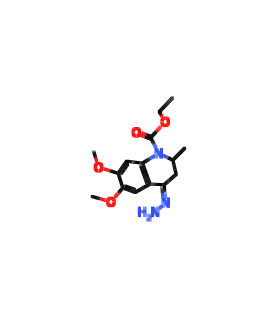 CCOC(=O)N1c2cc(OC)c(OC)cc2/C(=N\N)CC1C